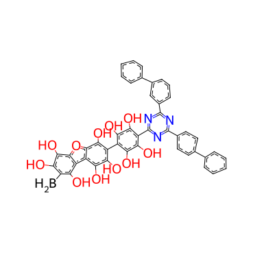 Bc1c(O)c(O)c2oc3c(O)c(-c4c(O)c(O)c(-c5nc(-c6ccc(-c7ccccc7)cc6)nc(-c6cccc(-c7ccccc7)c6)n5)c(O)c4O)c(O)c(O)c3c2c1O